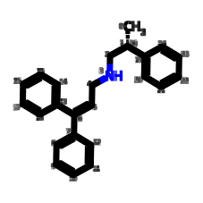 C[C@@H](CNCC=C(c1ccccc1)c1ccccc1)c1ccccc1